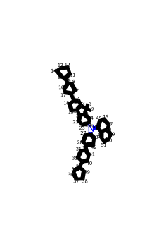 CC1(C)c2cc(-c3ccc(-c4ccccc4)cc3)ccc2-c2ccc(N(c3ccc(-c4ccc(-c5ccccc5)cc4)cc3)c3cccc4ccccc34)cc21